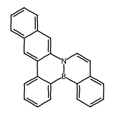 C1=CN2B(c3ccccc31)c1ccccc1-c1cc3ccccc3cc12